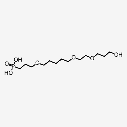 O=P(O)(O)CCCOCCCCCOCCOCCCO